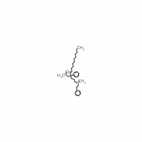 CCCCCCCCCCCCC(CCCN(C)CCc1ccccc1)(CN(C)C)c1ccccc1